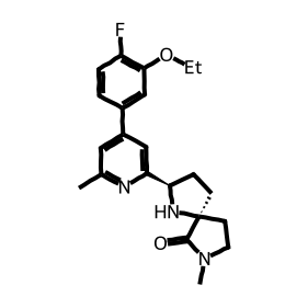 CCOc1cc(-c2cc(C)nc([C@H]3CC[C@@]4(CCN(C)C4=O)N3)c2)ccc1F